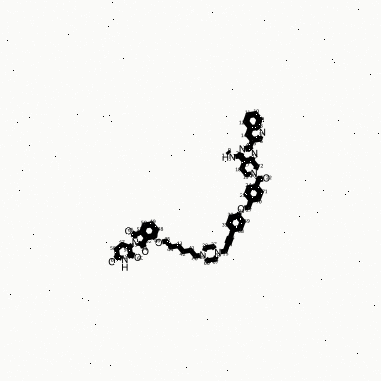 CNc1nc(-c2cnc3ccccc3c2)nc2c1CCN(C(=O)c1ccc(COc3ccc(C#CCN4CCN(CCCCCCOc5cccc6c5C(=O)N(C5CCC(=O)NC5=O)C6=O)CC4)cc3)cc1)C2